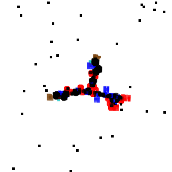 COc1cc2c(Nc3ccc(Br)cc3F)cccc2cc1OCC1CCN(C(=O)OCCN(CCOC(=O)NCCCCNC(=O)CN2CCN(CC(=O)O)CCN(CC(=O)O)CC2)CCOC(=O)N2CCC(COc3cc4cccc(Nc5ccc(Br)cc5F)c4cc3OC)CC2)CC1